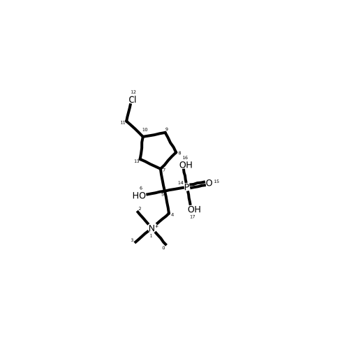 C[N+](C)(C)CC(O)(C1CCC(CCl)C1)P(=O)(O)O